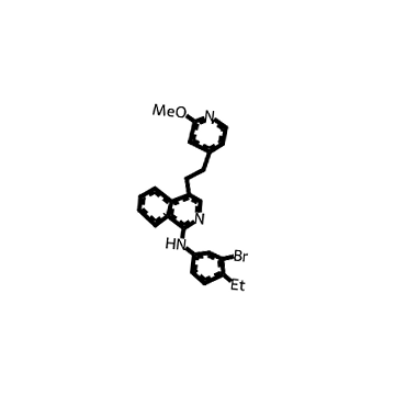 CCc1ccc(Nc2ncc(CCc3ccnc(OC)c3)c3ccccc23)cc1Br